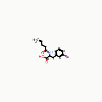 C=CCCC(=O)NC(Cc1cccc(I)c1)C(=O)O